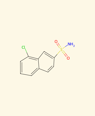 NS(=O)(=O)c1ccc2cccc(Cl)c2c1